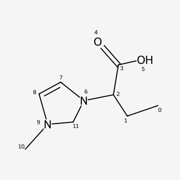 CCC(C(=O)O)N1C=CN(C)C1